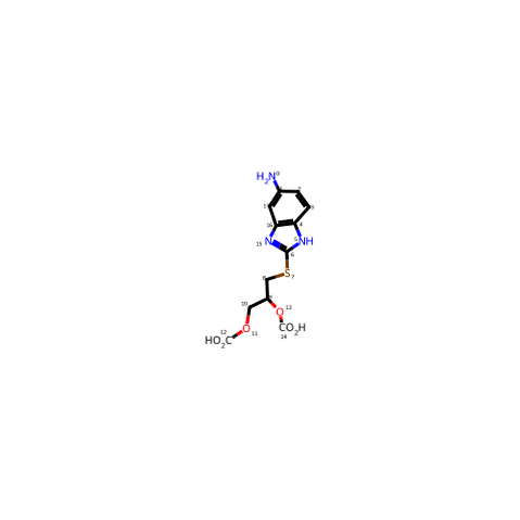 Nc1ccc2[nH]c(SCC(COC(=O)O)OC(=O)O)nc2c1